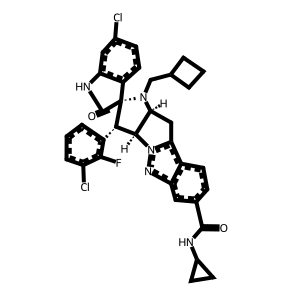 O=C(NC1CC1)c1ccc2c3n(nc2c1)[C@@H]1[C@H](C3)N(CC2CCC2)[C@@]2(C(=O)Nc3cc(Cl)ccc32)[C@H]1c1cccc(Cl)c1F